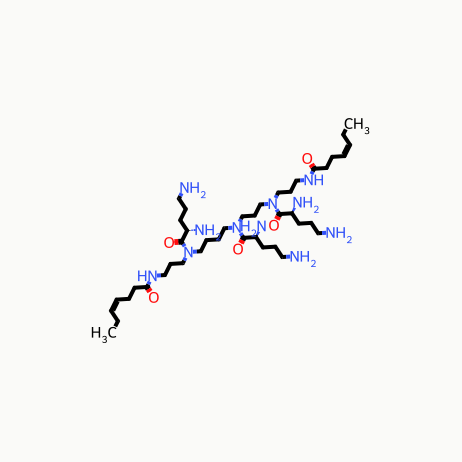 CC/C=C\CCC(=O)NCCCN(CCCCN(CCCN(CCCNC(=O)CC/C=C\CC)C(=O)[C@@H](N)CCCN)C(=O)[C@@H](N)CCCN)C(=O)[C@@H](N)CCCN